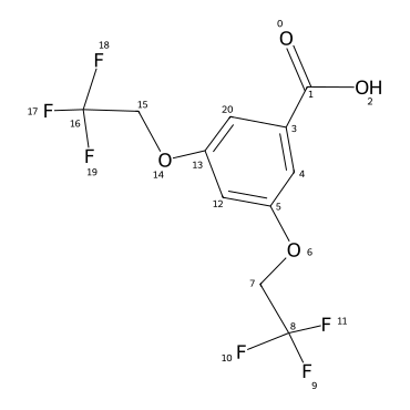 O=C(O)c1cc(OCC(F)(F)F)cc(OCC(F)(F)F)c1